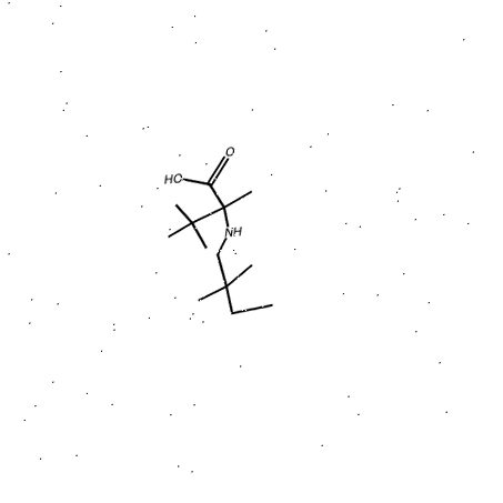 CCC(C)(C)CNC(C)(C(=O)O)C(C)(C)C